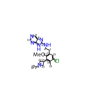 COc1c(CCNc2nc3cncnc3[nH]2)cc(Cl)c(C)c1C1CN(C(C)C)C1